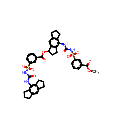 COC(=O)c1cccc(S(=O)(=O)NC(=O)Nc2c3c(cc4c2CCC4OC(=O)c2cccc(S(=O)(=O)NC(=O)Nc4c5c(cc6c4CCC6)CCC5)c2)CCC3)c1